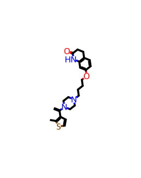 C=C(c1ccsc1C)N1CCN(CCCCOc2ccc3c(c2)NC(=O)CC3)CC1